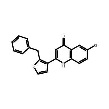 O=c1cc(-c2ccsc2Cc2ccccc2)[nH]c2ccc(Cl)cc12